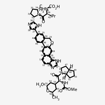 COC(=O)N[C@H](C(=O)N1[C@H](c2nc3ccc4cc5c(cc4c3[nH]2)OCc2cc(-c3cnc([C@@H]4CC[C@H](C)N4C(=O)[C@@H](NC(=O)O)C(C)C)[nH]3)ccc2-5)C[C@@H]2CCC[C@@H]21)C1C[C@@H](C)O[C@H](C)C1